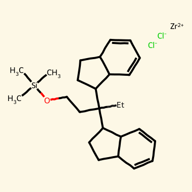 CCC(CCO[Si](C)(C)C)(C1CCC2C=CC=CC21)C1CCC2C=CC=CC21.[Cl-].[Cl-].[Zr+2]